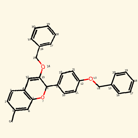 Cc1ccc2c(c1)OC(c1ccc(OCc3ccccc3)cc1)C(OCc1ccccc1)=C2